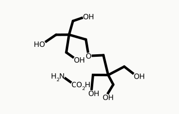 NC(=O)O.OCC(CO)(CO)COCC(CO)(CO)CO